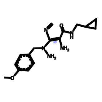 C=N/C(=C(/N)C(=O)NCC1CC1)N(N)Cc1ccc(OC)cc1